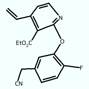 C=Cc1ccnc(Oc2cc(CC#N)ccc2F)c1C(=O)OCC